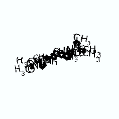 COC(=O)N[C@H](C(=O)N1CCC[C@H]1c1ncc(-c2ccc3c(c2)COc2cc4c(ccc5nc([C@@H]6C[C@H](C)CN6C(=O)OC(C)(C)C)[nH]c54)cc2-3)[nH]1)C(C)C